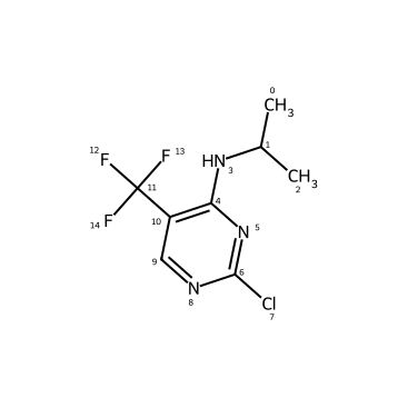 CC(C)Nc1nc(Cl)ncc1C(F)(F)F